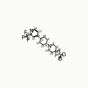 O=S1(=O)CC2(CCN([C@H]3CC[C@H](c4ccnc(C(F)(F)F)c4)CC3)CC2)C1